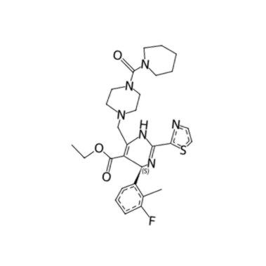 CCOC(=O)C1=C(CN2CCN(C(=O)N3CCCCC3)CC2)NC(c2nccs2)=N[C@H]1c1cccc(F)c1C